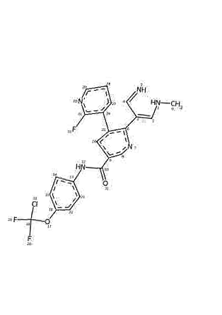 CN/C=C(\C=N)c1ncc(C(=O)Nc2ccc(OC(F)(F)Cl)cc2)cc1-c1cccnc1F